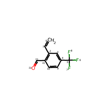 C=Cc1cc(C(F)(F)F)ccc1C=O